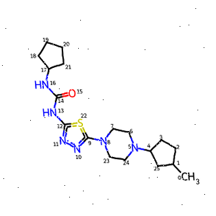 CC1CCC(N2CCN(c3nnc(NC(=O)NC4CCCC4)s3)CC2)C1